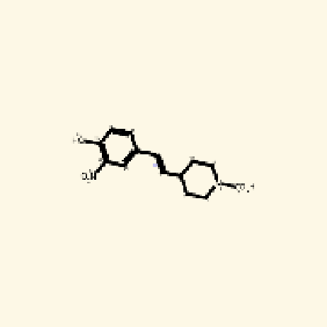 O=C(O)N1CCC(/C=C/c2ccc(O)c([N+](=O)[O-])c2)CC1